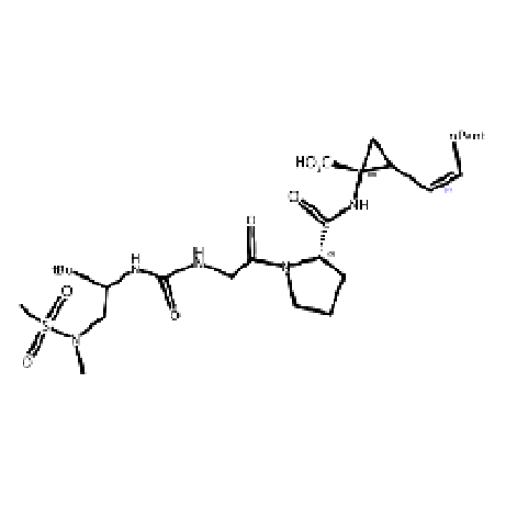 CCCCC/C=C\C1C[C@]1(NC(=O)[C@@H]1CCCN1C(=O)CNC(=O)NC(CN(C)S(C)(=O)=O)C(C)(C)C)C(=O)O